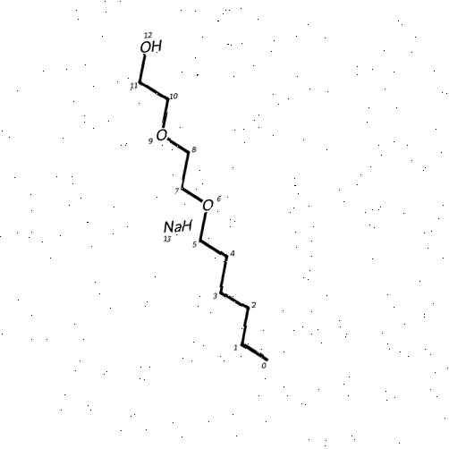 CCCCCCOCCOCCO.[NaH]